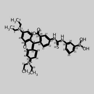 CCN(CC)c1ccc2c(-c3ccc(NC(=S)Nc4cccc(B(O)O)c4)cc3C(=O)O)c3ccc(=[N+](CC)CC)cc-3oc2c1